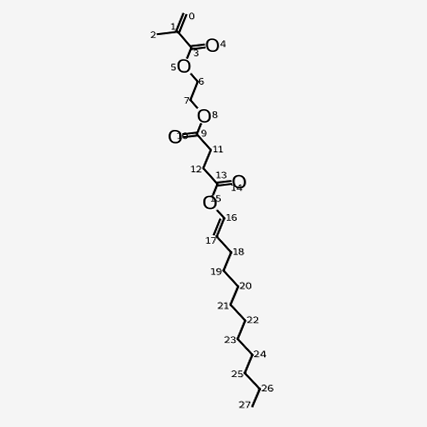 C=C(C)C(=O)OCCOC(=O)CCC(=O)OC=CCCCCCCCCCC